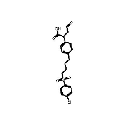 O=CCC(C(=O)O)c1ccc(CCCCS(=O)(=O)c2ccc(Cl)cc2)cc1